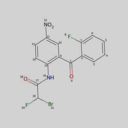 O=C(c1ccccc1F)c1cc([N+](=O)[O-])ccc1NC(=O)C(F)Br